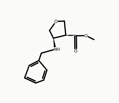 COC(=O)[C@@H]1COC[C@@H]1NCc1ccccc1